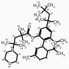 C=C(C)C1CCC(C)=CC1c1c(OC)cc(C(C)(C)CC(C)(C)C)cc1OC(=O)C(C)(C)CC(C)(C)N1CCOCC1